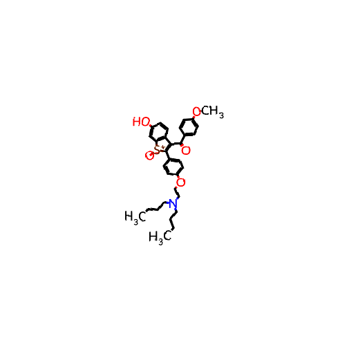 CCCCN(CCCC)CCOc1ccc(-c2c(C(=O)c3ccc(OC)cc3)c3ccc(O)cc3[s+]2[O-])cc1